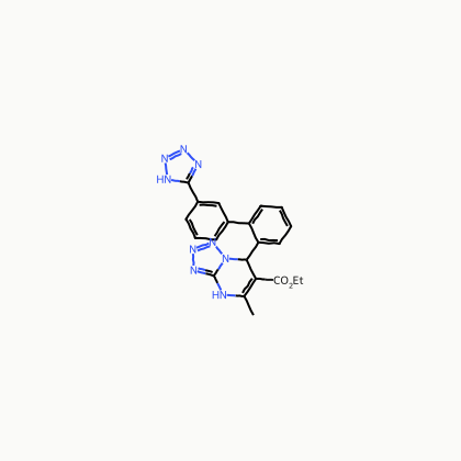 CCOC(=O)C1=C(C)Nc2nnnn2C1c1ccccc1-c1cccc(-c2nnn[nH]2)c1